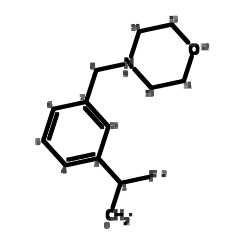 [CH2]C(F)c1cccc(CN2CCOCC2)c1